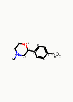 CN1CCOC(c2ccc([N+](=O)[O-])cc2)C1